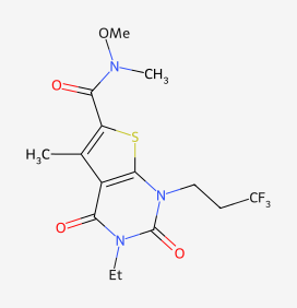 CCn1c(=O)c2c(C)c(C(=O)N(C)OC)sc2n(CCC(F)(F)F)c1=O